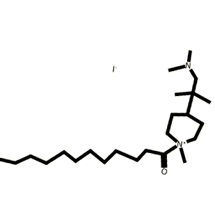 CCCCCCCCCCCC(=O)[N+]1(C)CCC(C(C)(C)CN(C)C)CC1.[I-]